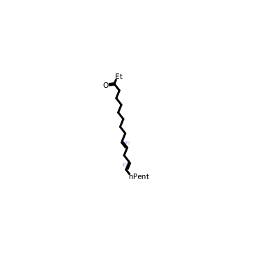 CCCCC/C=C/C/C=C/CCCCCCCC(=O)CC